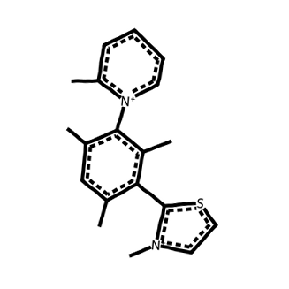 Cc1cc(C)c(-[n+]2ccccc2C)c(C)c1-c1scc[n+]1C